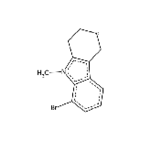 Cn1c2c(c3cccc(Br)c31)C[C]CC2